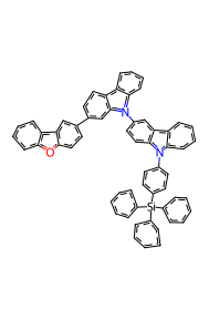 c1ccc([Si](c2ccccc2)(c2ccccc2)c2ccc(-n3c4ccccc4c4cc(-n5c6ccccc6c6ccc(-c7ccc8oc9ccccc9c8c7)cc65)ccc43)cc2)cc1